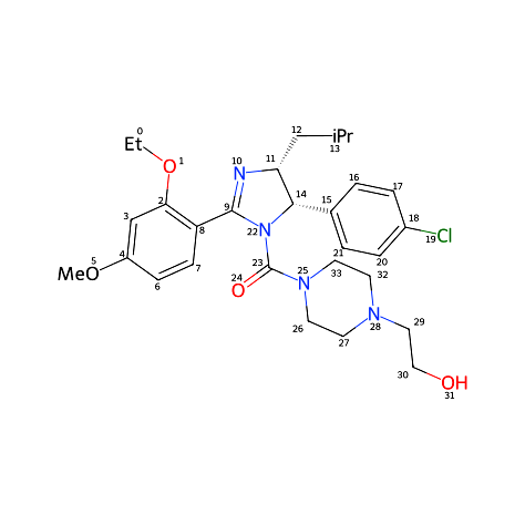 CCOc1cc(OC)ccc1C1=N[C@H](CC(C)C)[C@H](c2ccc(Cl)cc2)N1C(=O)N1CCN(CCO)CC1